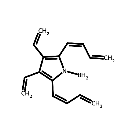 Bn1c(/C=C\C=C)c(C=C)c(C=C)c1/C=C\C=C